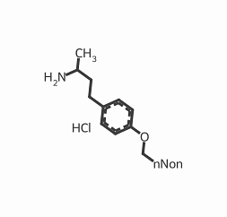 CCCCCCCCCCOc1ccc(CCC(C)N)cc1.Cl